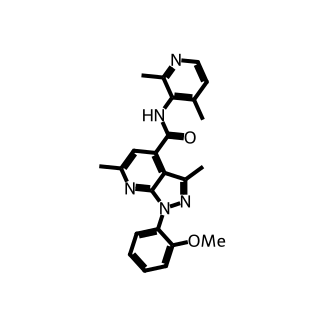 COc1ccccc1-n1nc(C)c2c(C(=O)Nc3c(C)ccnc3C)cc(C)nc21